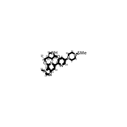 CSN1CCN(c2ccc(-c3cc4ncn(C)c4c(O[C@H](C)[C@H]4CNC(=O)C4)n3)nc2)CC1